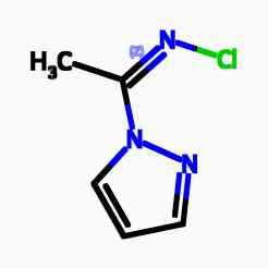 C/C(=N/Cl)n1cccn1